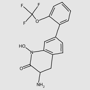 NC1Cc2ccc(-c3ccccc3OC(F)(F)F)cc2N(O)C1=O